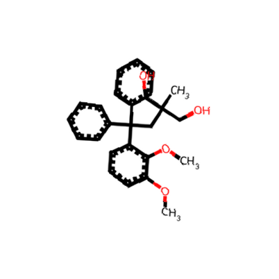 COc1cccc(C(CC(C)(CO)CO)(c2ccccc2)c2ccccc2)c1OC